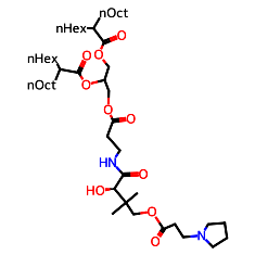 CCCCCCCCC(CCCCCC)C(=O)OCC(COC(=O)CCNC(=O)[C@H](O)C(C)(C)COC(=O)CCN1CCCC1)OC(=O)C(CCCCCC)CCCCCCCC